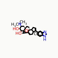 CN(C)[C@H]1C[C@@]23CC[C@@]4(O2)C(=CC[C@]2(C)C(c5ccc6[nH]cnc6c5)=CCC24)C2CC23[C@@H](O)[C@@H]1O